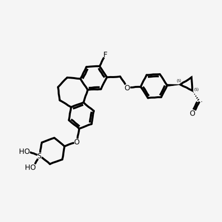 O=[C][C@H]1C[C@@H]1c1ccc(OCc2cc3c(cc2F)CCCc2cc(OC4CCS(O)(O)CC4)ccc2-3)cc1